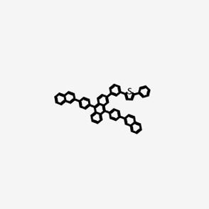 c1ccc(-c2ccc(-c3cccc(-c4ccc5c(-c6ccc(-c7ccc8ccccc8c7)cc6)c6ccccc6c(-c6ccc(-c7ccc8ccccc8c7)cc6)c5c4)c3)s2)cc1